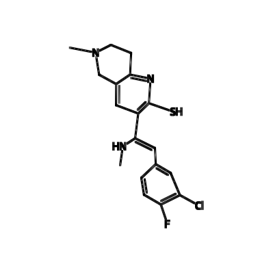 CN/C(=C\c1ccc(F)c(Cl)c1)c1cc2c(nc1S)CCN(C)C2